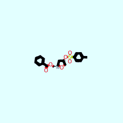 Cc1ccc(S(=O)(=O)O[C@H]2CO[C@H](COC(=O)c3ccccc3)C2)cc1